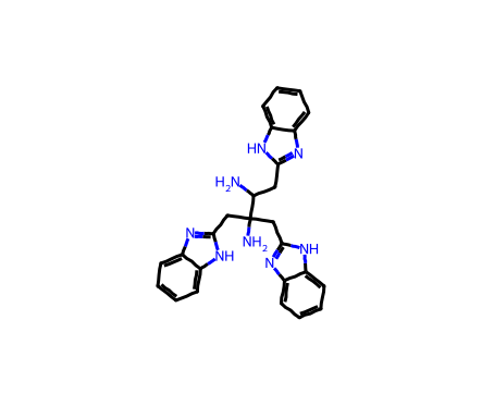 NC(Cc1nc2ccccc2[nH]1)C(N)(Cc1nc2ccccc2[nH]1)Cc1nc2ccccc2[nH]1